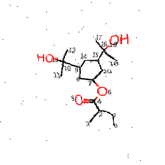 CCC(C)C(=O)OC1CC(C(C)(C)O)CC(C(C)(C)O)C1